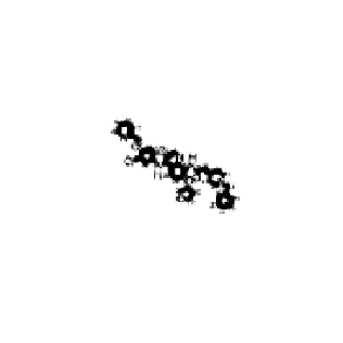 N#Cc1cnc2c(NC(=O)C=C3CCN(Cc4ccccc4)CC3)c(OC3CCOC3)ccc2c1Nc1ccc(OCc2ccccn2)c(Cl)c1